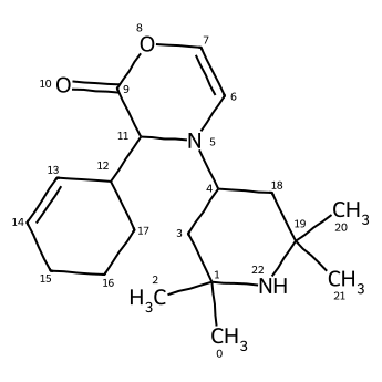 CC1(C)CC(N2C=COC(=O)C2C2C=CCCC2)CC(C)(C)N1